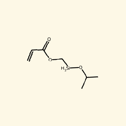 C=CC(=O)OC[SiH2]OC(C)C